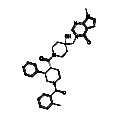 Cc1ccccc1C(=O)N1CC[C@@H](C(=O)N2CCC(O)(Cn3cnc4c(ccn4C)c3=O)CC2)[C@H](c2ccccc2)C1